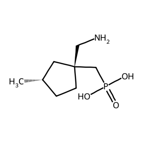 C[C@H]1CC[C@@](CN)(CP(=O)(O)O)C1